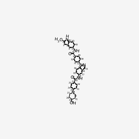 Cc1cc2cc(NC(=O)c3ccc(-n4ncc5cc(NC(=O)c6ccc(N7CCC(O)CC7)cc6)ccc54)cc3)ccc2[nH]1